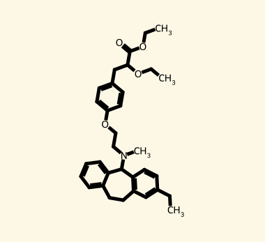 CCOC(=O)C(Cc1ccc(OCCN(C)C2c3ccccc3CCc3cc(CC)ccc32)cc1)OCC